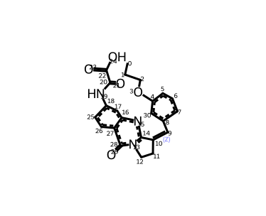 CCCOc1cccc(/C=C2/CCn3c2nc2cc(NC(=O)C(=O)O)ccc2c3=O)c1